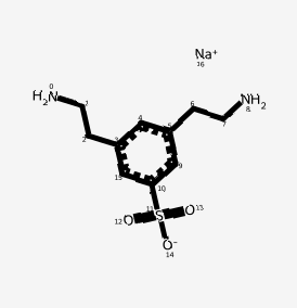 NCCc1cc(CCN)cc(S(=O)(=O)[O-])c1.[Na+]